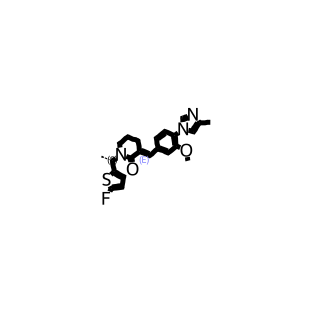 COc1cc(/C=C2\CCCN([C@@H](C)c3ccc(F)s3)C2=O)ccc1-n1cnc(C)c1